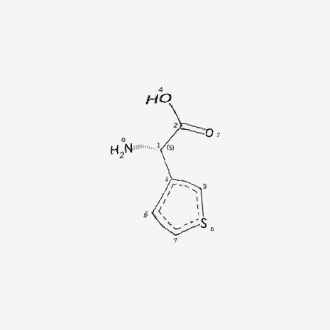 N[C@H](C(=O)O)c1ccsc1